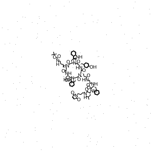 CC(C)C[C@H](NC(=O)[C@H](Cc1ccccc1)NC(=O)CNC(=O)CC[C@H]1C(=O)N[C@@H](Cc2ccc(O)cc2)C(=O)N[C@H](Cc2c[nH]c3ccccc23)C(=O)N[C@@H](CCCCNC(=O)OC(C)(C)C)C(=O)N[C@@H]([C@@H](C)O)C(O)N[C@@H](Cc2ccccc2)C(=O)N1C)C(=O)NCCCN1C(=O)C=CC1=O